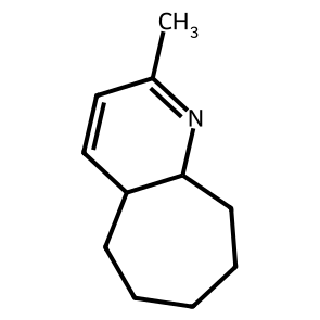 CC1=NC2CCCCCC2C=C1